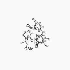 COCC(C)N1CCN(C(=O)c2cc(Cc3n[nH]c(=O)c(C)c3C)ccc2F)CC1=O